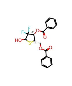 O=C(OC[C@@H]1SC(O)C(F)(F)[C@H]1OC(=O)c1ccccc1)c1ccccc1